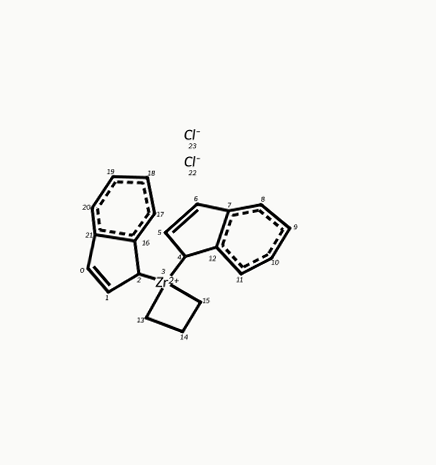 C1=C[CH]([Zr+2]2([CH]3C=Cc4ccccc43)[CH2]C[CH2]2)c2ccccc21.[Cl-].[Cl-]